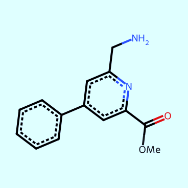 COC(=O)c1cc(-c2ccccc2)cc(CN)n1